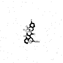 CNC(O)Cc1c(C(=O)NCc2ccc(F)cc2S(C)(=O)=O)c(=O)[nH]c2cccnc12